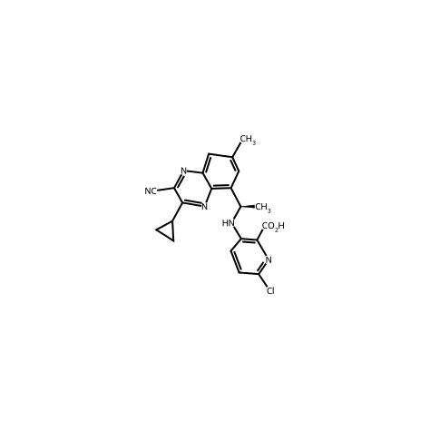 Cc1cc([C@@H](C)Nc2ccc(Cl)nc2C(=O)O)c2nc(C3CC3)c(C#N)nc2c1